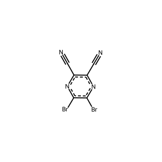 N#Cc1nc(Br)c(Br)nc1C#N